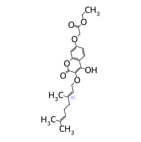 CCOC(=O)COc1ccc2c(O)c(OC/C=C(\C)CCC=C(C)C)c(=O)oc2c1